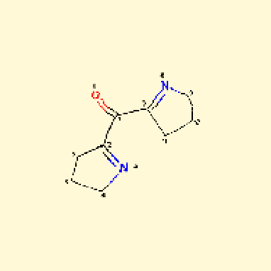 O=C(C1=NCCC1)C1=NCCC1